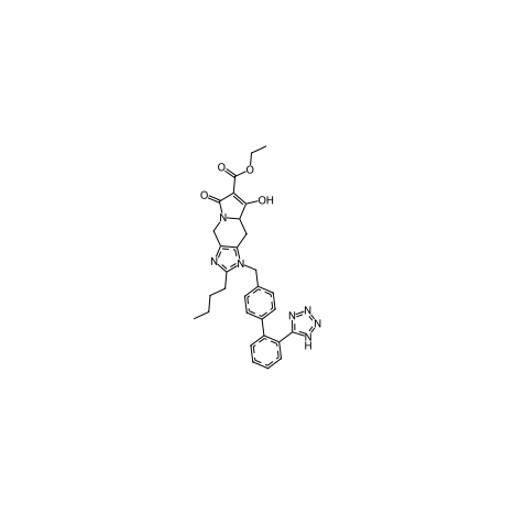 CCCCc1nc2c(n1Cc1ccc(-c3ccccc3-c3nnn[nH]3)cc1)CC1C(O)=C(C(=O)OCC)C(=O)N1C2